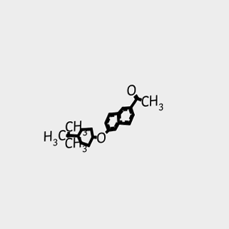 CC(=O)c1ccc2cc(OC3CCC(C(C)(C)C)CC3)ccc2c1